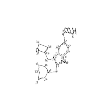 O=C(O)Cc1ccc2nc(CN3CCCCC3)n(CC3CCO3)c2c1